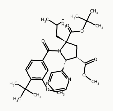 COC(=O)[C@H]1C[C@@](CC(C)C)(C(=O)OC(C)(C)C)N(C(=O)c2ccc(C(C)(C)C)c(OC)c2)[C@H]1c1cnccn1